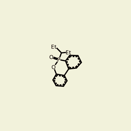 CCC(CC)P1(=O)Oc2ccccc2-c2ccccc21